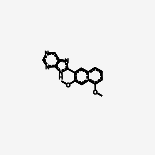 COc1cc2c(OC)cccc2cc1-c1nc2cncnc2[nH]1